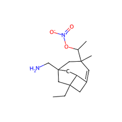 CCC12CC3=CC(C)(C(C)O[N+](=O)[O-])CC(CN)(CC31)C2